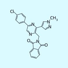 Cn1cc(-c2nc(-c3ccc(Cl)cc3)cnc2CN2C(=O)c3ccccc3C2=O)cn1